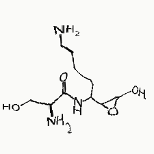 NCCCCC(NC(=O)C(N)CO)C1OC1O